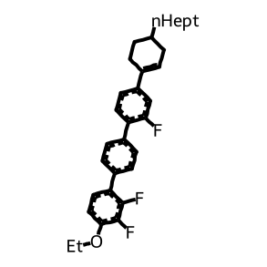 CCCCCCCC1CC=C(c2ccc(-c3ccc(-c4ccc(OCC)c(F)c4F)cc3)c(F)c2)CC1